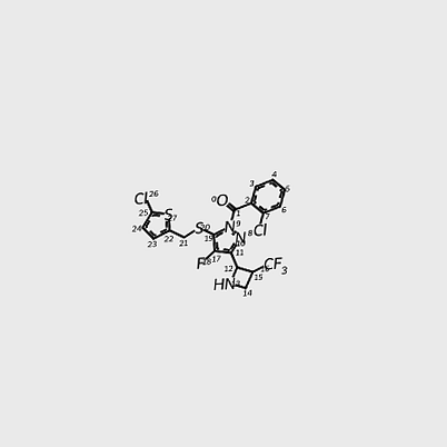 O=C(c1ccccc1Cl)n1nc(C2NCC2C(F)(F)F)c(F)c1SCc1ccc(Cl)s1